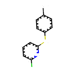 CC(=O)Nc1ccc(Sc2cccc(Cl)n2)cc1